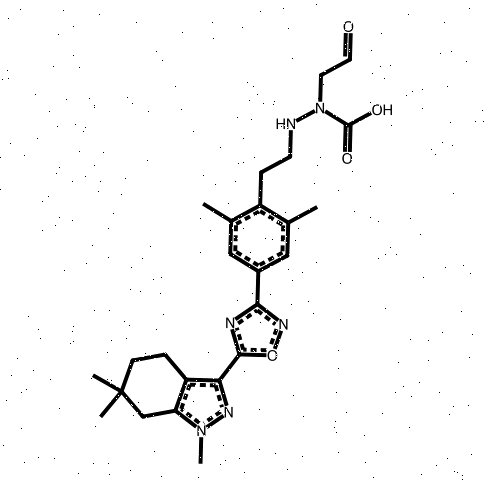 Cc1cc(-c2noc(-c3nn(C)c4c3CCC(C)(C)C4)n2)cc(C)c1CCNN(CC=O)C(=O)O